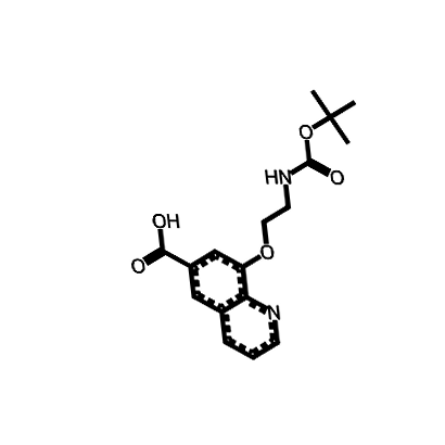 CC(C)(C)OC(=O)NCCOc1cc(C(=O)O)cc2cccnc12